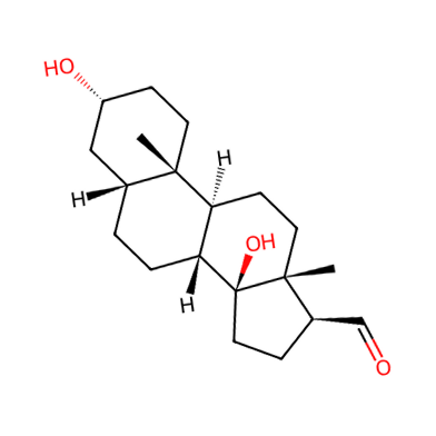 C[C@]12CC[C@@H](O)C[C@H]1CC[C@@H]1[C@@H]2CC[C@]2(C)[C@@H](C=O)CC[C@]12O